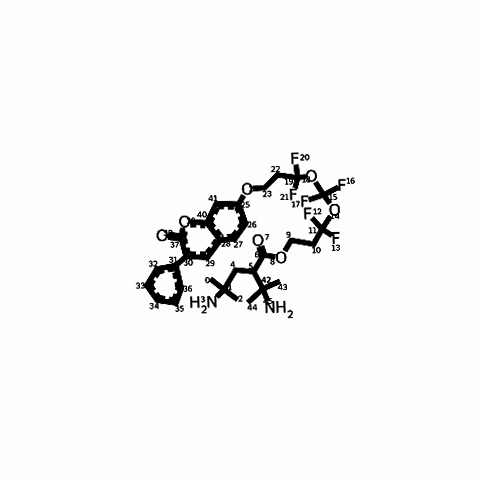 CC(C)(N)CC(C(=O)OCCC(F)(F)OC(F)(F)OC(F)(F)CCOc1ccc2cc(-c3ccccc3)c(=O)oc2c1)C(C)(C)N